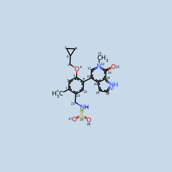 Cc1cc(OCC2CC2)c(-c2cn(C)c(=O)c3[nH]ccc23)cc1CN[SH](=O)=O